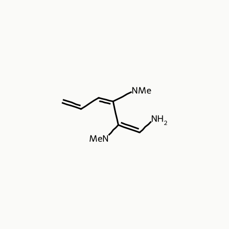 C=C/C=C(NC)\C(=C/N)NC